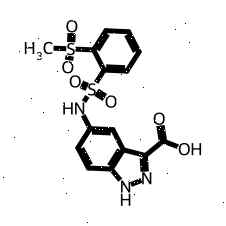 CS(=O)(=O)c1ccccc1S(=O)(=O)Nc1ccc2[nH]nc(C(=O)O)c2c1